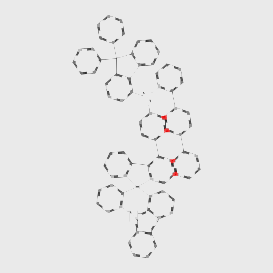 c1ccc(-c2ccc(-c3ccccc3N(c3ccc(-c4cccc5c4-c4ccccc4C54c5ccccc5-n5c6ccccc6c6cccc4c65)cc3)c3cccc4c3-c3ccccc3C4(c3ccccc3)c3ccccc3)cc2)cc1